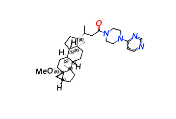 CO[C@@H]1C[C@H]2[C@@H]3CC[C@H](C(C)CC(=O)N4CCN(c5ccncn5)CC4)[C@@]3(C)CC[C@@H]2[C@@]2(C)CC[C@@H]3C[C@@]312